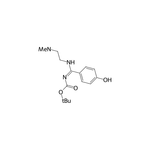 CNCCN/C(=N/C(=O)OC(C)(C)C)c1ccc(O)cc1